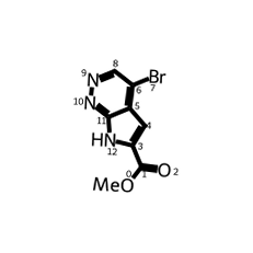 COC(=O)c1cc2c(Br)cnnc2[nH]1